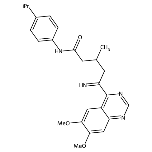 COc1cc2ncnc(C(=N)CC(C)CC(=O)Nc3ccc(C(C)C)cc3)c2cc1OC